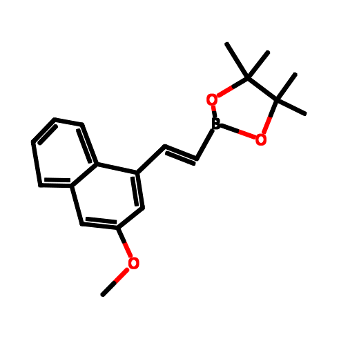 COc1cc(/C=C/B2OC(C)(C)C(C)(C)O2)c2ccccc2c1